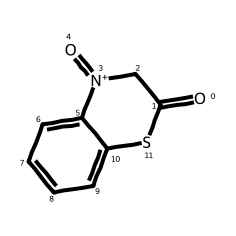 O=C1C[N+](=O)c2ccccc2S1